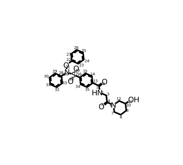 O=C(NCC(=O)N1CCCC(O)C1)c1ccc(S(=O)(=O)N(Oc2ccccc2)c2ccccc2)cc1